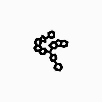 c1ccc(-c2ccc(N(c3ccc4c(c3)-c3ccccc3C4)c3ccc4ccc5ccc6nc(-c7ccccc7)oc6c5c4c3)cc2)cc1